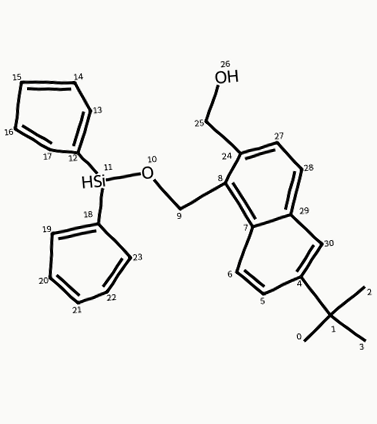 CC(C)(C)c1ccc2c(CO[SiH](c3ccccc3)c3ccccc3)c(CO)ccc2c1